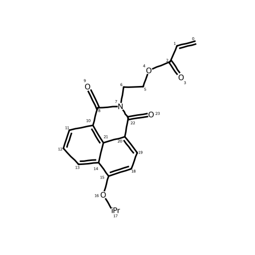 C=CC(=O)OCCN1C(=O)c2cccc3c(OC(C)C)ccc(c23)C1=O